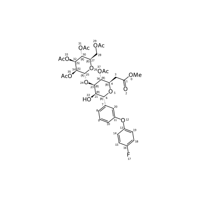 COC(=O)C[C@H]1O[C@H](c2cccc(Oc3ccc(F)cc3)c2)[C@@H](O)[C@@H](O[C@H]2O[C@H](COC(C)=O)[C@@H](OC(C)=O)[C@H](OC(C)=O)[C@@H]2OC(C)=O)[C@@H]1OC(C)=O